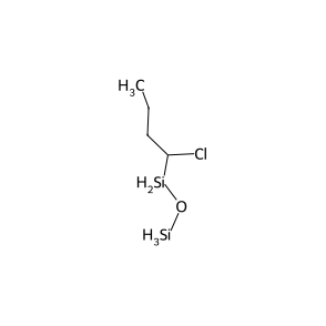 CCCC(Cl)[SiH2]O[SiH3]